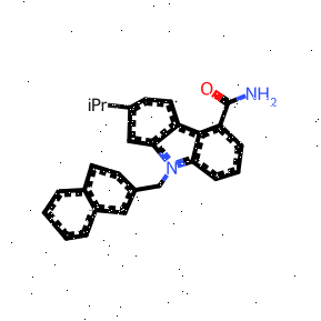 CC(C)c1c[c]c2c3c(C(N)=O)cccc3n(Cc3ccc4ccccc4c3)c2c1